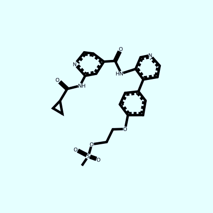 CS(=O)(=O)OCCOc1ccc(-c2ccncc2NC(=O)c2ccnc(NC(=O)C3CC3)c2)cc1